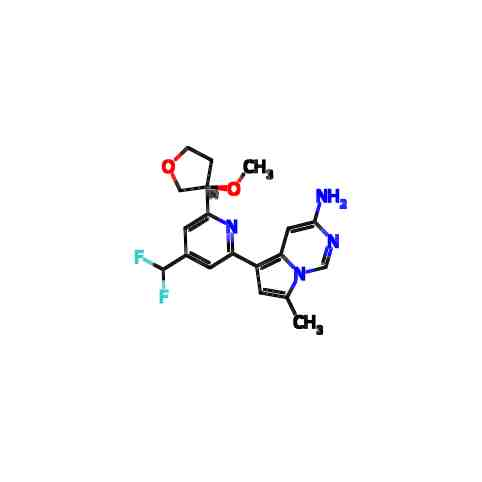 CO[C@]1(c2cc(C(F)F)cc(-c3cc(C)n4cnc(N)cc34)n2)CCOC1